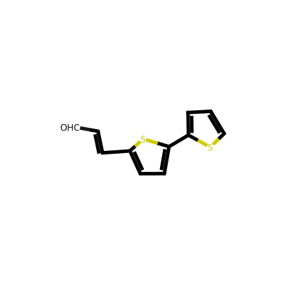 O=CC=Cc1ccc(-c2cccs2)s1